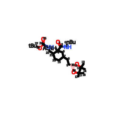 CCCCNC(=O)C1(NC(C)=O)CC(CCB2OC(C)(C)C(C)(C)O2)CCC1CNC(=O)OC(C)(C)C